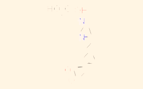 Cc1c(/C=C/c2ccc(N(C)CC(O)CC(=O)O)cn2)cccc1-c1ccc2c(c1)OCCO2